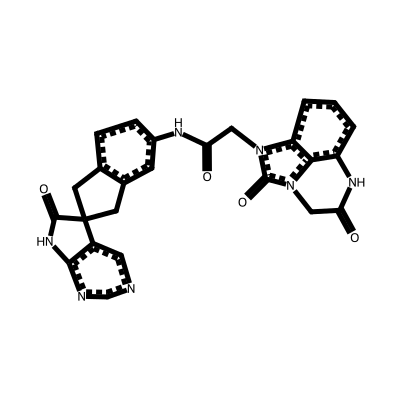 O=C(Cn1c(=O)n2c3c(cccc31)NC(=O)C2)Nc1ccc2c(c1)CC1(C2)C(=O)Nc2ncncc21